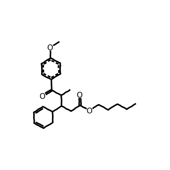 CCCCCOC(=O)CC(C1C=CC=CC1)C(C)C(=O)c1ccc(OC)cc1